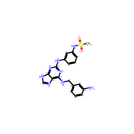 CS(=O)(=O)Nc1cccc(Nc2nc(NCc3cccc(N)c3)c3nc[nH]c3n2)c1